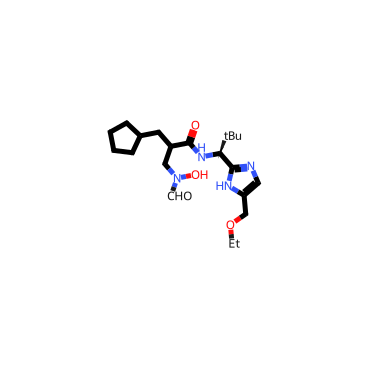 CCOCc1cnc([C@@H](NC(=O)C(CC2CCCC2)CN(O)C=O)C(C)(C)C)[nH]1